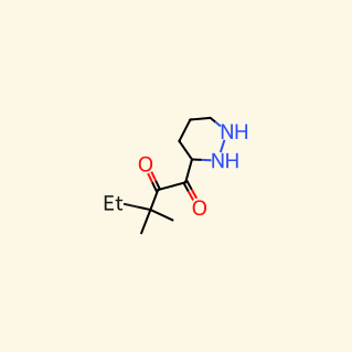 CCC(C)(C)C(=O)C(=O)C1CCCNN1